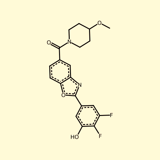 COC1CCN(C(=O)c2ccc3oc(-c4cc(O)c(F)c(F)c4)nc3c2)CC1